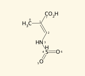 CC(=CN[SH](=O)=O)C(=O)O